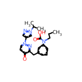 CCCN(C(=O)O)c1cccc(Cc2nn(-c3cnn(C(C)C)c3)ccc2=O)c1